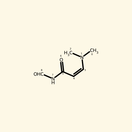 CN(C)/C=C\C(=O)NC=O